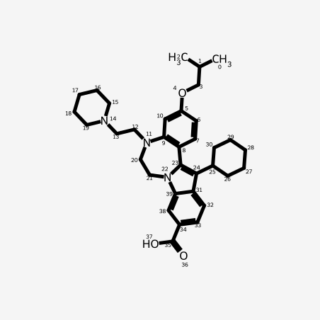 CC(C)COc1ccc2c(c1)N(CCN1CCCCC1)CCn1c-2c(C2CCCCC2)c2ccc(C(=O)O)cc21